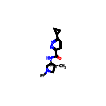 CC(C)N1C[C@@H](C)[C@@H](NC(=O)c2ccc(C3CC3)nn2)C1